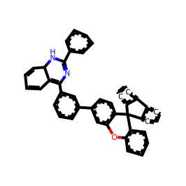 C1=CC2=C(c3cccc(-c4ccc5c(c4)Oc4ccccc4C54c5ccccc5-c5ccccc54)c3)N=C(c3ccccc3)NC2C=C1